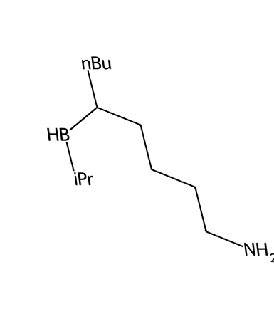 CCCCC(BC(C)C)CCCCN